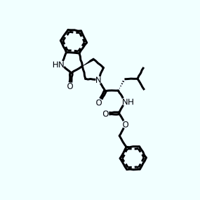 CC(C)C[C@H](NC(=O)OCc1ccccc1)C(=O)N1CC[C@@]2(C1)C(=O)Nc1ccccc12